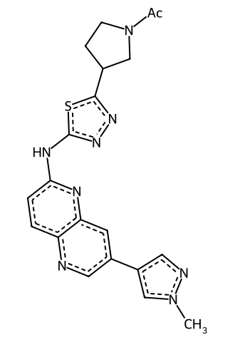 CC(=O)N1CCC(c2nnc(Nc3ccc4ncc(-c5cnn(C)c5)cc4n3)s2)C1